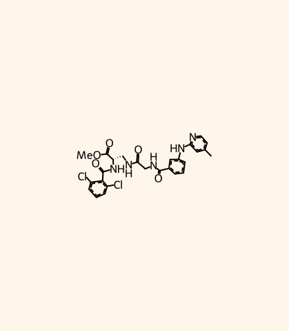 COC(=O)[C@H](CNC(=O)CNC(=O)c1cccc(Nc2cc(C)ccn2)c1)NC(=O)c1c(Cl)cccc1Cl